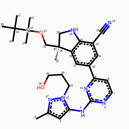 Cc1cc(Nc2nccc(-c3cc(C#N)c4c(c3)[C@@](C)(CO[Si](C)(C)C(C)(C)C)CN4)n2)n(CCCO)n1